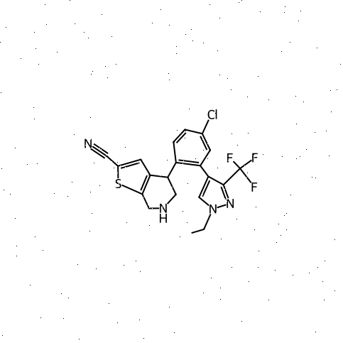 CCn1cc(-c2cc(Cl)ccc2C2CNCc3sc(C#N)cc32)c(C(F)(F)F)n1